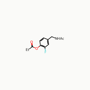 CCC(=O)Oc1ccc(CNC(C)=O)cc1F